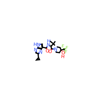 CC(C)(C)[C@@H](NC(=O)c1c[nH]c2ncc(C3CC3)nc12)C(=O)N1CCC(O)(C(F)(F)F)CC1